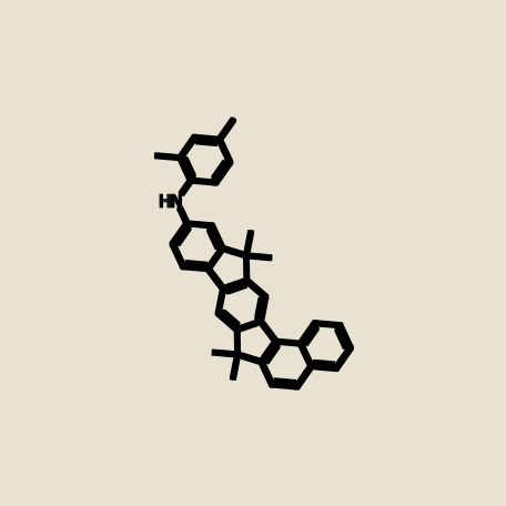 Cc1ccc(Nc2ccc3c(c2)C(C)(C)c2cc4c(cc2-3)C(C)(C)c2ccc3ccccc3c2-4)c(C)c1